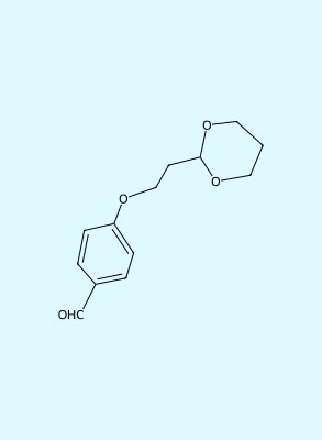 O=Cc1ccc(OCCC2OCCCO2)cc1